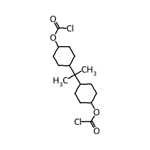 CC(C)(C1CCC(OC(=O)Cl)CC1)C1CCC(OC(=O)Cl)CC1